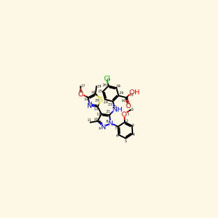 COc1ccccc1-n1nc(C)c(-c2nc(OC)c(C)s2)c1Nc1ccc(Cl)cc1C(=O)O